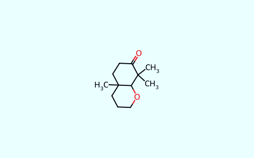 CC12CCCOC1C(C)(C)C(=O)CC2